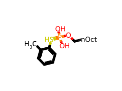 CCCCCCCCCOP(O)(O)=[SH]c1ccccc1C